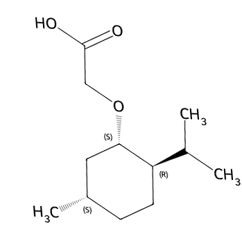 CC(C)[C@H]1CC[C@H](C)C[C@@H]1OCC(=O)O